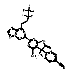 CC1(c2ccc(C#N)cn2)C(=O)Nc2nc(-c3cn4ncnc4c(CCC(F)(F)C(F)(F)F)n3)nc(N)c21